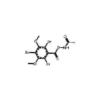 COc1c(Br)c(OC)c(Br)c(C(=O)ONC(C)=O)c1Br